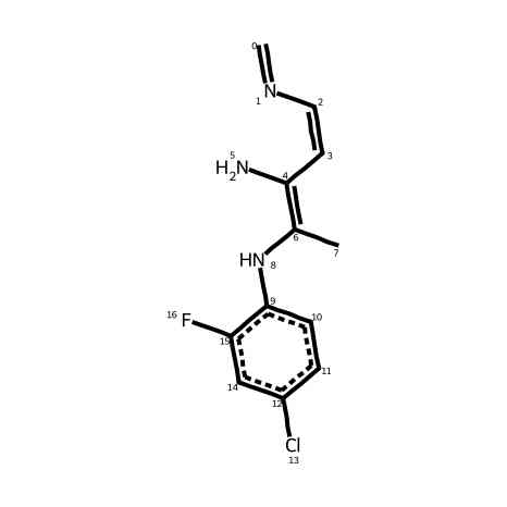 C=N/C=C\C(N)=C(/C)Nc1ccc(Cl)cc1F